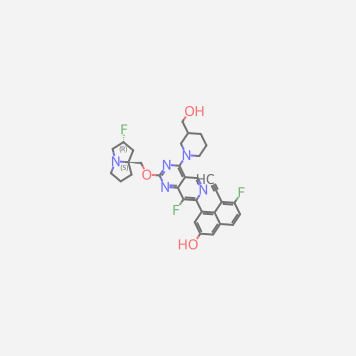 C#Cc1c(F)ccc2cc(O)cc(-c3ncc4c(N5CCCC(CO)C5)nc(OC[C@@]56CCCN5C[C@H](F)C6)nc4c3F)c12